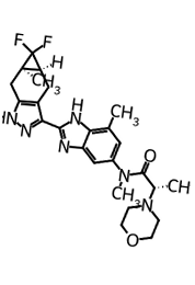 Cc1cc(N(C)C(=O)[C@H](C)N2CCOCC2)cc2nc(-c3n[nH]c4c3C[C@@H]3C(F)(F)[C@]3(C)C4)[nH]c12